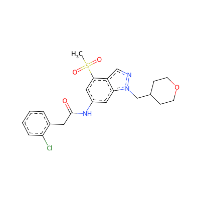 CS(=O)(=O)c1cc(NC(=O)Cc2ccccc2Cl)cc2c1cnn2CC1CCOCC1